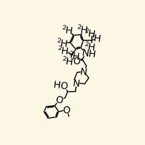 [2H]c1c([2H])c(C([2H])([2H])[2H])c(NC(=O)CN2CCN(CC(O)COc3ccccc3OC)CC2)c(C([2H])([2H])[2H])c1[2H]